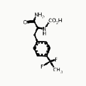 CC(F)(F)c1ccc(CC(NC(=O)O)C(N)=O)cc1